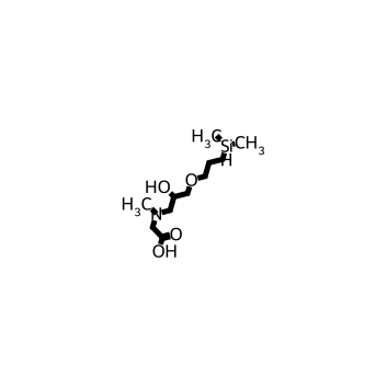 CN(CC(=O)O)CC(O)COCCC[SiH](C)C